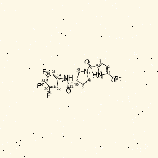 CC(C)c1ccc(C(=O)N2CC[C@H](C(=O)Nc3cc(F)c(F)c(F)c3)C2)[nH]1